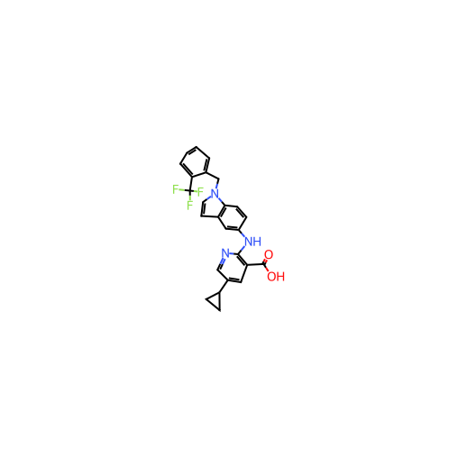 O=C(O)c1cc(C2CC2)cnc1Nc1ccc2c(ccn2Cc2ccccc2C(F)(F)F)c1